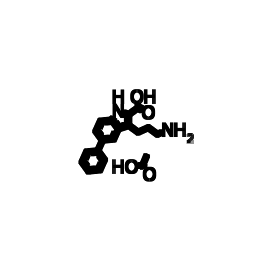 CC(=O)O.NCCCc1c(C(=O)O)[nH]c2ccc(-c3ccccc3)cc12